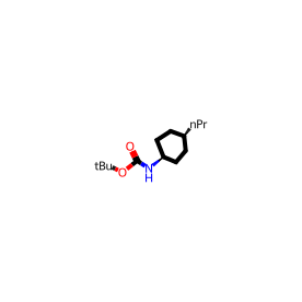 CCC[C@H]1CC[C@@H](NC(=O)OC(C)(C)C)CC1